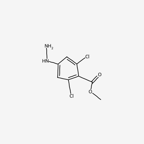 COC(=O)c1c(Cl)cc(NN)cc1Cl